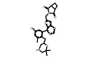 Cc1cc(Cl)cc(-c2ncnc3cc(CN4C(=O)C5CCC5C4=O)sc23)c1CC1CNCC(C)(C)O1